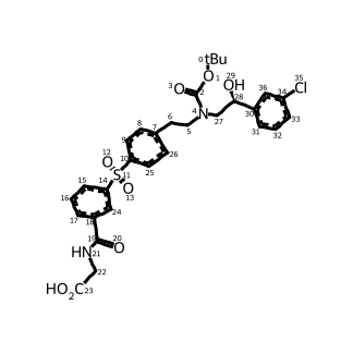 CC(C)(C)OC(=O)N(CCc1ccc(S(=O)(=O)c2cccc(C(=O)NCC(=O)O)c2)cc1)C[C@@H](O)c1cccc(Cl)c1